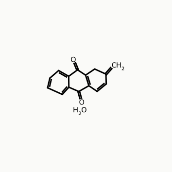 C=C1C=CC2=C(C1)C(=O)c1ccccc1C2=O.O